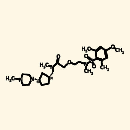 COc1cc(C)c(S(=O)(=O)N(C)CCOCC(=O)N(C)C[C@@H]2CC[C@H](N3CCN(C)CC3)C2)c(C)c1